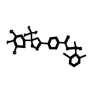 Cc1cccc(C)c1S(C)(=O)=NC(=O)c1ccc(C2=NOC(c3cc(Cl)c(F)c(Cl)c3)(C(F)(F)F)C2)cc1